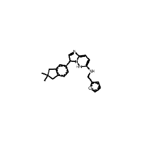 CC1(C)Cc2ccc(C3C=NC4=CC=C(NCc5ccco5)NN43)cc2C1